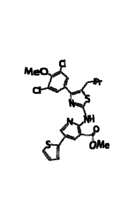 COC(=O)c1cc(-c2cccs2)cnc1Nc1nc(-c2cc(Cl)c(OC)c(Cl)c2)c(CC(C)C)s1